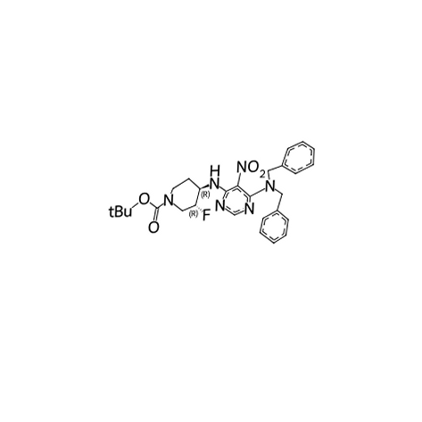 CC(C)(C)OC(=O)N1CC[C@@H](Nc2ncnc(N(Cc3ccccc3)Cc3ccccc3)c2[N+](=O)[O-])[C@H](F)C1